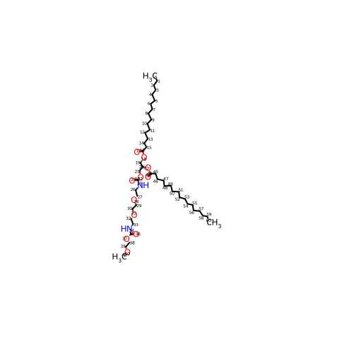 CCCCCCCCCCCCCCCCC(=O)OCC(COC(=O)NCCOCCOCCNC(=O)OCCOC)OC(=O)CCCCCCCCCCCCCCCC